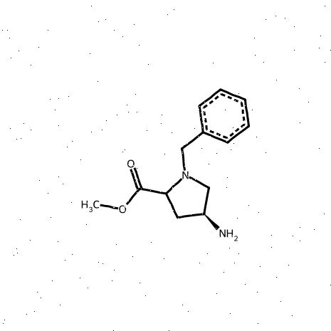 COC(=O)C1C[C@H](N)CN1Cc1ccccc1